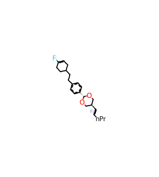 CCC/C=C/[C@H]1CO[C@H](c2ccc(CCC3CC=C(F)CC3)cc2)OC1